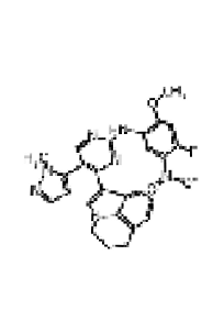 COc1cc(F)c([N+](=O)[O-])cc1Nc1ncc(-c2ccnn2C)c(-c2cn3c4c(cccc24)CCC3)n1